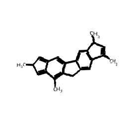 CC1=CC(C)c2cc3c(cc21)Cc1c-3cc2c(c1C)=CC(C)C=2